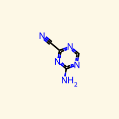 N#Cc1ncnc(N)n1